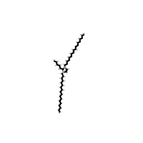 CCCCCCCCCCCCCCCCCCN1C=CN(CCCCCCCCCCCCCCCCCC)C1CCCCC